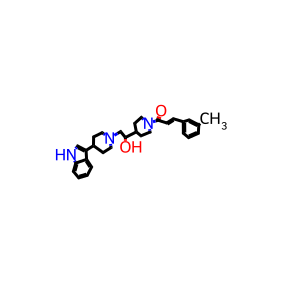 Cc1cccc(/C=C/C(=O)N2CCC(C(O)CN3CCC(c4c[nH]c5ccccc45)CC3)CC2)c1